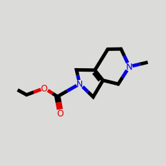 CCOC(=O)N1CC2=C(CN(C)CC2)C1